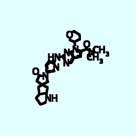 CN(C)C(=O)c1cc2cnc(Nc3ccc(N4CC5(CC4=O)CC4CCCNC4C5)cn3)nc2n1C1CCCOC1